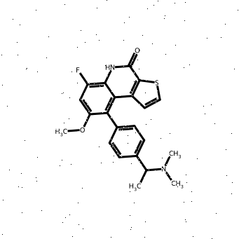 COc1cc(F)c2[nH]c(=O)c3sccc3c2c1-c1ccc(C(C)N(C)C)cc1